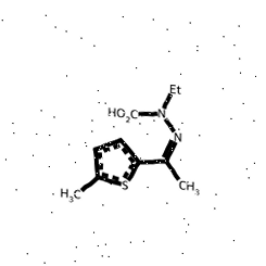 CCN(/N=C(/C)c1ccc(C)s1)C(=O)O